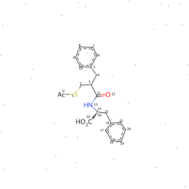 CC(=O)SCC(Cc1ccccc1)C(=O)N[C@@H](Cc1ccccc1)C(=O)O